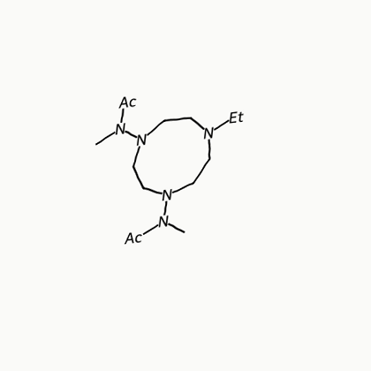 CCN1CCN(N(C)C(C)=O)CCN(N(C)C(C)=O)CC1